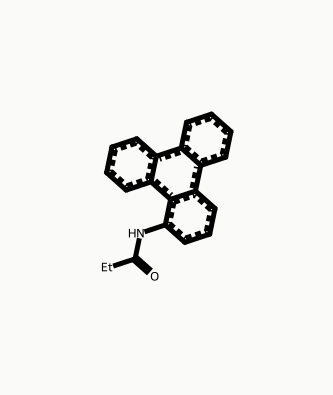 CCC(=O)Nc1cccc2c3ccccc3c3ccccc3c12